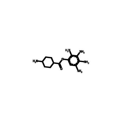 Nc1cc(OC(=O)C2CCC(N)CC2)c(N)c(N)c1N